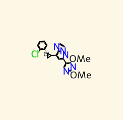 COc1ncc(-c2cc(C3C[C@@H]3c3ccccc3Cl)c3nccn3n2)c(OC)n1